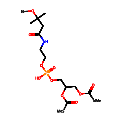 CCOC(C)(C)CC(=O)NCCOP(=O)(O)OCC(COC(=O)NC)OC(=O)SC